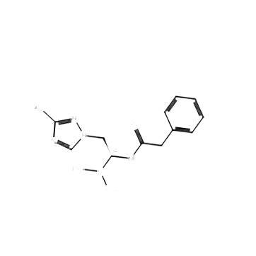 CC(=O)c1ncn(C[C@@H](NC(=O)Cc2ccccc2)B(O)O)n1